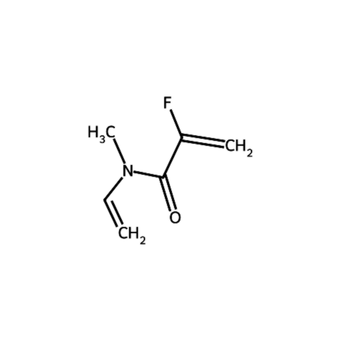 C=CN(C)C(=O)C(=C)F